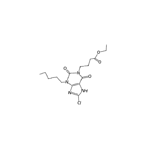 CCCCCn1c(=O)n(CCCC(=O)OCC)c(=O)c2[nH]c(Cl)nc21